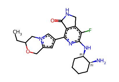 CCC1Cn2cc(-c3nc(N[C@@H]4CCCC[C@@H]4N)c(F)c4c3C(=O)NC4)cc2CO1